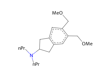 CCCN(CCC)C1Cc2cc(COC)c(COC)cc2C1